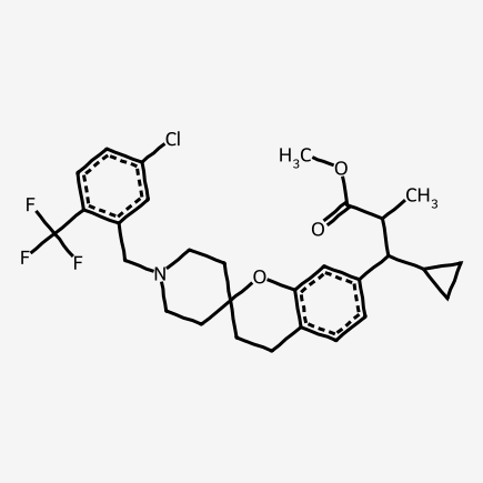 COC(=O)C(C)C(c1ccc2c(c1)OC1(CC2)CCN(Cc2cc(Cl)ccc2C(F)(F)F)CC1)C1CC1